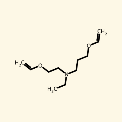 C=COCCCN(CC)CCOC=C